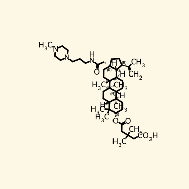 C=C(C)[C@@H]1CC[C@]2(CC(=O)NCCCN3CCN(C)CC3)CC[C@]3(C)[C@H](CC[C@@H]4[C@@]5(C)CC[C@H](OC(=O)CC(C)(C)CC(=O)O)C(C)(C)[C@@H]5CC[C@]43C)[C@@H]12